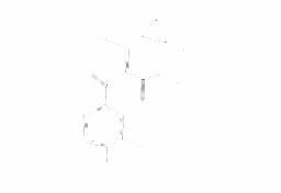 CCOC(=O)C(C(=O)c1cc(F)c(F)cc1F)=C(N)[C@@H]1C[C@@H]1F